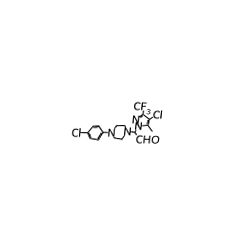 Cc1c(Cl)c(C(F)(F)F)nn1C(C=O)N1CCN(c2ccc(Cl)cc2)CC1